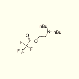 CCCCN(CCCC)CCOC(=O)C(F)(F)C(F)(F)F